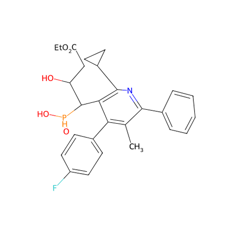 CCOC(=O)CC(O)C(c1c(C2CC2)nc(-c2ccccc2)c(C)c1-c1ccc(F)cc1)[PH](=O)O